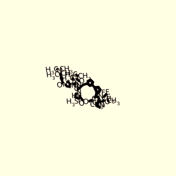 CO[C@@H](C)c1ncccc1-c1c2c3cc(ccc3n1CC(F)(F)F)-c1cccc(c1)C[C@H](NC(=O)[C@H](C(C)C)N(C)C(=O)[C@H]1CCN(C(=O)C#CC(C)(C)N(C)C)C1)C(=O)N1CCC[C@@]([SiH3])(N1)C(=O)OCC(C)(C)C2